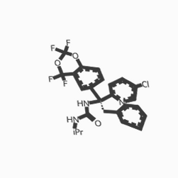 CC(C)NC(=O)N[C@@](Cc1ccccc1)(c1ccc2c(c1)C(F)(F)OC(F)(F)O2)c1ccc(Cl)cn1